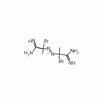 CC(C)C(C)(/N=N/C(C)(C(=N)N)C(C)C)C(=N)N